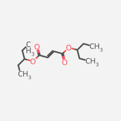 CCC(CC)OC(=O)C=CC(=O)OC(CC)CC